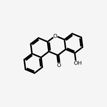 O=c1c2c(O)cccc2oc2ccc3ccccc3c12